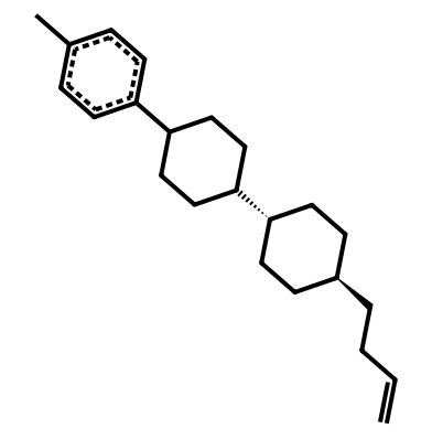 C=CCC[C@H]1CC[C@H](C2CCC(c3ccc(C)cc3)CC2)CC1